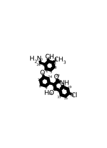 Cc1ccc(Oc2cccc(-c3c(O)c4ccc(Cl)cc4[nH]c3=O)c2)c(CN)c1C